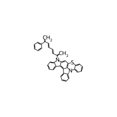 C=C(/C=C/C=C/C(=C)n1c2ccccc2c2c3c4ccccc4n4c3c(cc21)Sc1ccccc1-4)c1ccccc1